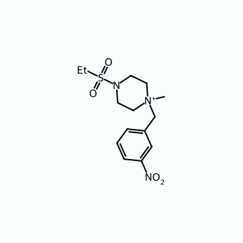 CCS(=O)(=O)N1CC[N+](C)(Cc2cccc([N+](=O)[O-])c2)CC1